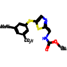 CNc1cc(Sc2cnc(CNC(=O)OC(C)(C)C)s2)cc(C(=O)O)c1